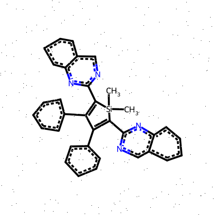 C[Si]1(C)C(c2ncc3ccccc3n2)=C(c2ccccc2)C(c2ccccc2)=C1c1ncc2ccccc2n1